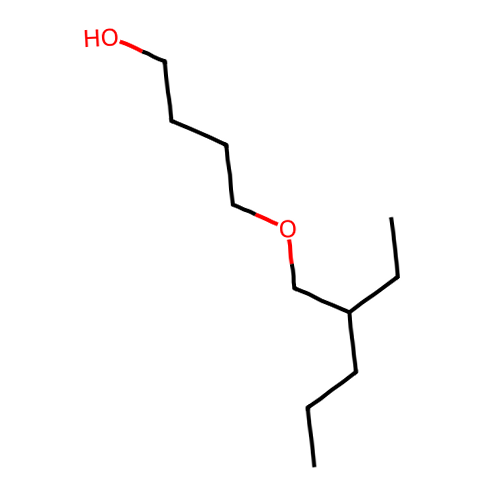 CCCC(CC)COCCCCO